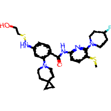 CSc1ccc(NC(=O)c2ccc(NSCCO)cc2N2CCC3(CC2)CC3)nc1N1CCC(F)CC1